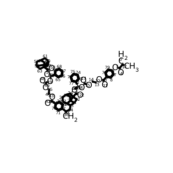 C=C(C)C(=O)Oc1ccc(C(=O)OCCOC(=O)OI(OC(=O)C23CC4CC5CC2(C4)C(C3)C5CC(=C)c2ccc(C(=O)OCCOC(=O)OI(OC(=O)C34CC5CC(CC(C5)C3)C4)c3ccccc3)cc2)c2ccccc2)cc1